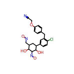 N#CCOc1ccc(Cc2cc(C3CC(CN=O)C(O)C(N=O)C3O)ccc2Cl)cc1